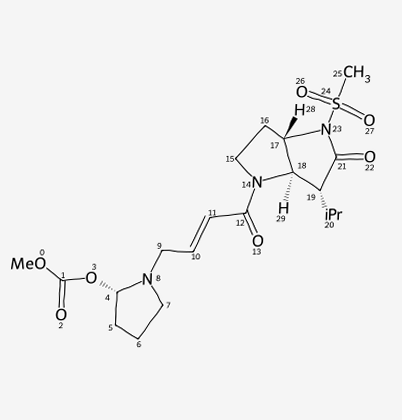 COC(=O)O[C@H]1CCCN1C/C=C/C(=O)N1CC[C@H]2[C@H]1[C@@H](C(C)C)C(=O)N2S(C)(=O)=O